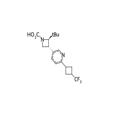 CC(C)(C)[C@H]1[C@H](c2ccc(C3CC(C(F)(F)F)C3)nc2)CN1C(=O)O